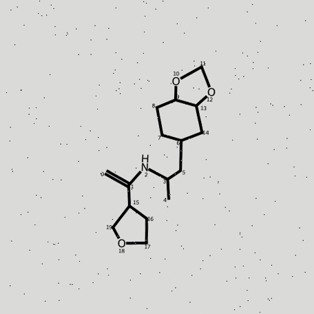 C=C(NC(C)CC1CCC2OCOC2C1)C1CCOC1